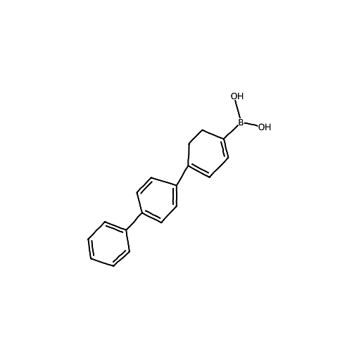 OB(O)C1=CC=C(c2ccc(-c3ccccc3)cc2)CC1